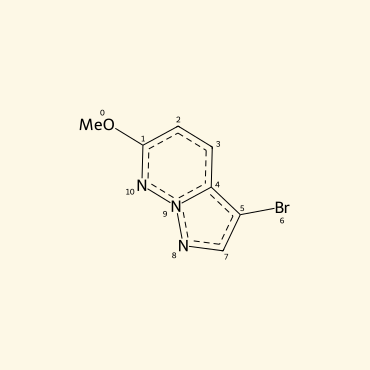 COc1ccc2c(Br)cnn2n1